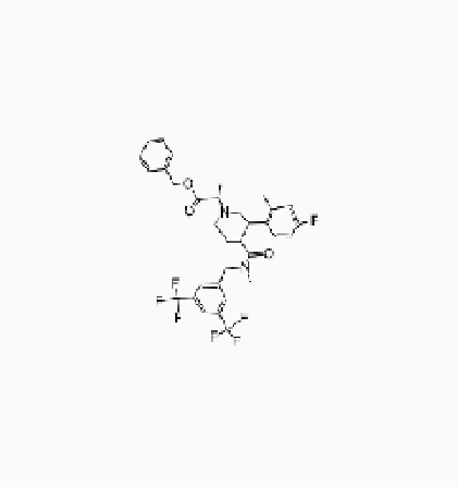 Cc1cc(F)ccc1C1CN(C(C)C(=O)OCc2ccccc2)CCC1C(=O)N(C)Cc1cc(C(F)(F)F)cc(C(F)(F)F)c1